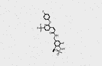 C#Cc1cc(CNC(=O)/C=C\c2ccc(C(F)(F)F)nc2Oc2ccc(F)cc2)cc(F)c1[AsH]S(C)(=O)=O